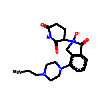 CNCCN1CCN(c2cccc3c2C[N+]([O-])(C2CCC(=O)NC2=O)C3=O)CC1